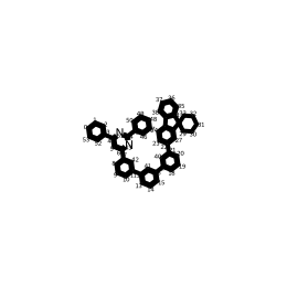 c1ccc(-c2cc(-c3cccc(-c4cccc(-c5cccc(-c6ccc7c(c6)C6(CCCCC6)c6ccccc6-7)c5)c4)c3)nc(-c3ccccc3)n2)cc1